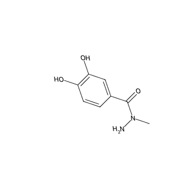 CN(N)C(=O)c1ccc(O)c(O)c1